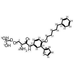 N[C@@H](COO[PH](=O)O)C(=O)Nc1ccc(OCCCCCc2ccccc2)c(-c2cccs2)c1